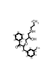 CCCNCC(O)COC(Cc1cccc(F)c1)C(=O)c1ccccc1